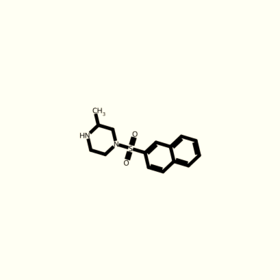 CC1CN(S(=O)(=O)c2ccc3ccccc3c2)CCN1